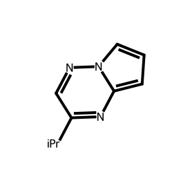 CC(C)c1cnn2cccc2n1